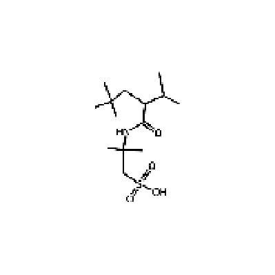 CC(C)C(CC(C)(C)C)C(=O)NC(C)(C)CS(=O)(=O)O